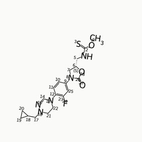 COC(=S)NC[C@H]1CN(c2ccc(N3C=NN(CC4CC4)CC3)c(F)c2)C(=O)O1